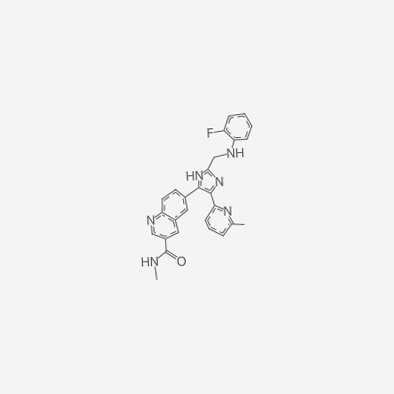 CNC(=O)c1cnc2ccc(-c3[nH]c(CNc4ccccc4F)nc3-c3cccc(C)n3)cc2c1